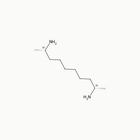 C[C@H](N)CCCCCC[C@H](C)N